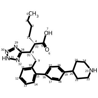 CCCC[C@H](C(=O)O)[C@H](Cc1ccccc1-c1ccc(C2CCNCC2)cc1)c1nn[nH]n1